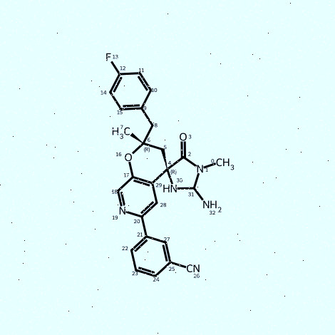 CN1C(=O)[C@]2(C[C@@](C)(Cc3ccc(F)cc3)Oc3cnc(-c4cccc(C#N)c4)cc32)NC1N